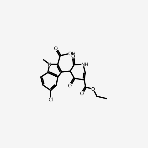 CCOC(=O)C1=CNC(=O)C(c2c(C(=O)O)n(C)c3ccc(Cl)cc23)C1=O